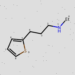 CCNCC[CH]c1cccs1